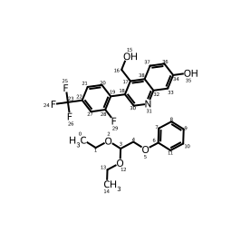 CCOC(COc1ccccc1)OCC.OCc1c(-c2ccc(C(F)(F)F)cc2F)cnc2cc(O)ccc12